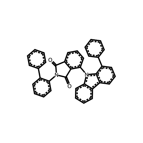 O=C1c2cccc(-n3c4ccccc4c4cccc(-c5ccccc5)c43)c2C(=O)N1c1ccccc1-c1ccccc1